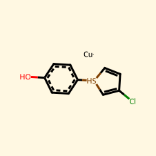 Oc1ccc([SH]2C=CC(Cl)=C2)cc1.[Cu]